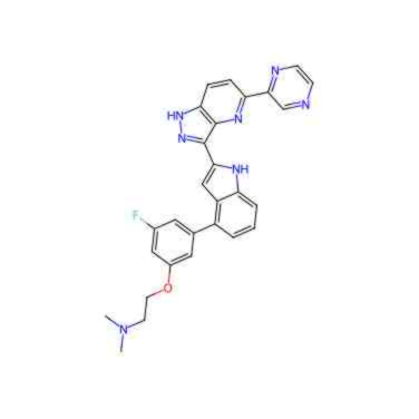 CN(C)CCOc1cc(F)cc(-c2cccc3[nH]c(-c4n[nH]c5ccc(-c6cnccn6)nc45)cc23)c1